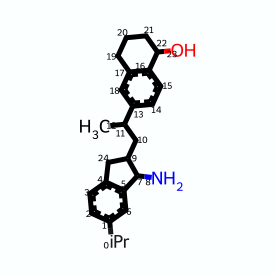 CC(C)c1ccc2c(c1)C(N)C(CC(C)c1ccc3c(c1)CCCC3O)C2